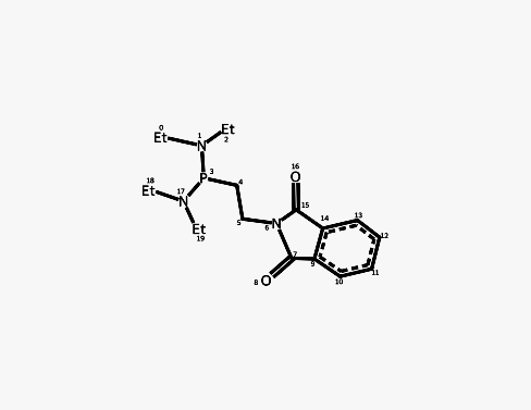 CCN(CC)P(CCN1C(=O)c2ccccc2C1=O)N(CC)CC